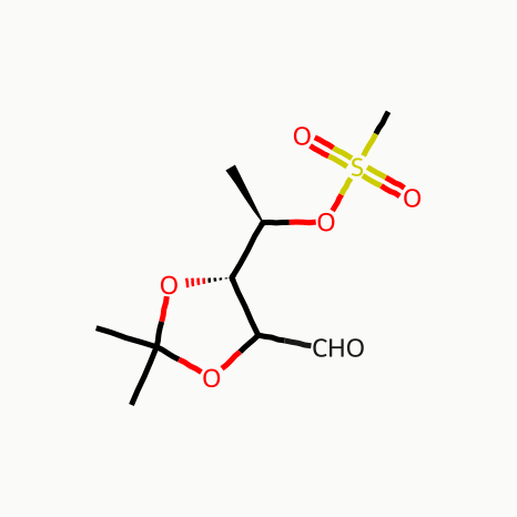 C[C@@H](OS(C)(=O)=O)[C@H]1OC(C)(C)OC1C=O